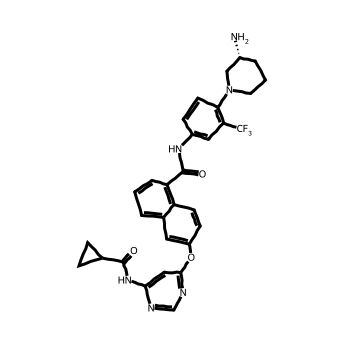 N[C@@H]1CCCN(c2ccc(NC(=O)c3cccc4cc(Oc5cc(NC(=O)C6CC6)ncn5)ccc34)cc2C(F)(F)F)C1